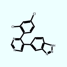 Clc1ccc(-c2n[c]ncc2-c2ccc3[nH]nnc3c2)c(Cl)c1